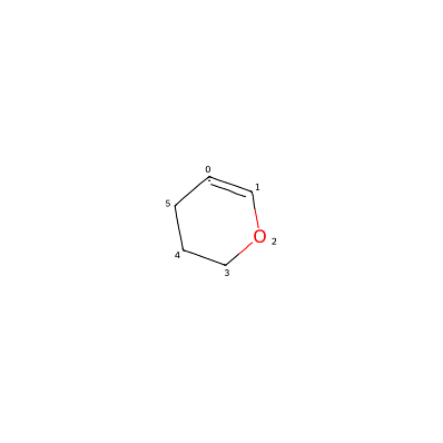 [C]1=COCCC1